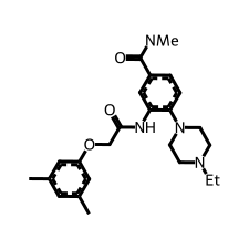 CCN1CCN(c2ccc(C(=O)NC)cc2NC(=O)COc2cc(C)cc(C)c2)CC1